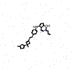 C=C/C=C(C)\C=C/C1C(O)=CC=C1Nc1ccc(C=CC2=CC(C)(C3=CC=C(C)C3)C2)cc1